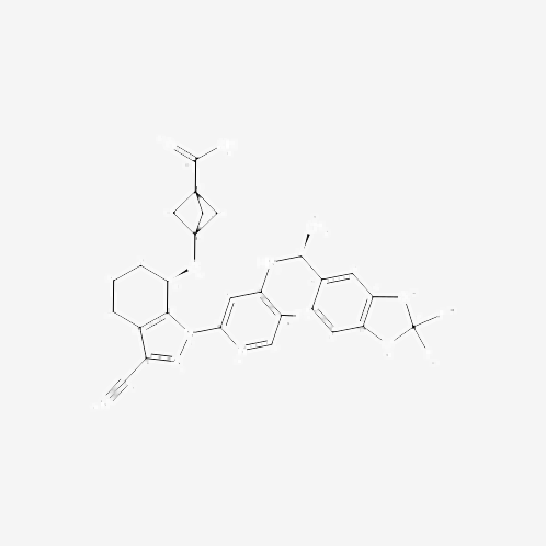 C[C@H](Nc1cc(-n2nc(C#N)c3c2[C@H](OC24CC(C(=O)O)(C2)C4)CCC3)ncc1F)c1ccc2c(c1)OC(F)(F)O2